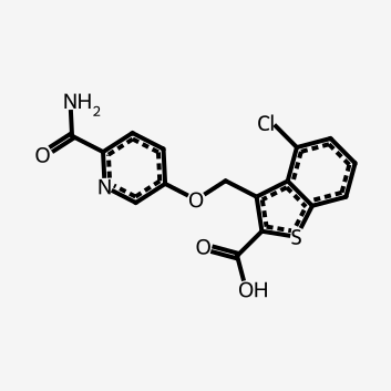 NC(=O)c1ccc(OCc2c(C(=O)O)sc3cccc(Cl)c23)cn1